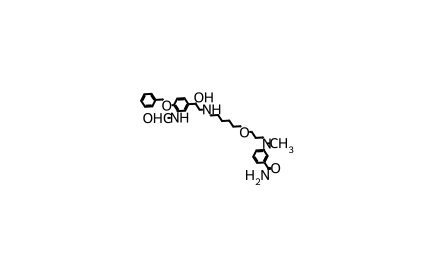 CN(CCCOCCCCCCNC[C@@H](O)c1ccc(OCc2ccccc2)c(NC=O)c1)c1cccc(C(N)=O)c1